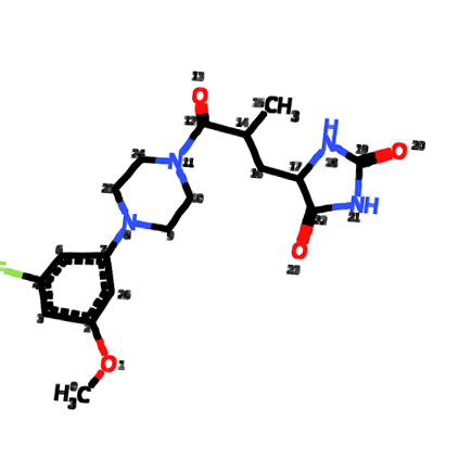 COc1cc(F)cc(N2CCN(C(=O)C(C)CC3NC(=O)NC3=O)CC2)c1